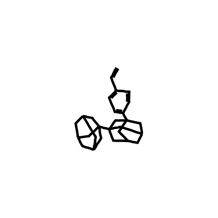 C=Cc1ccc(C23CC4CC(C2)CC(C25CC6CC(CC(C6)C2)C5)(C4)C3)cc1